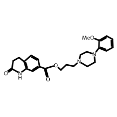 COc1ccccc1N1CCN(CCCOC(=O)c2ccc3c(c2)NC(=O)CC3)CC1